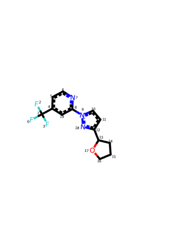 FC(F)(F)c1ccnc(-n2ccc(C3CCCO3)n2)c1